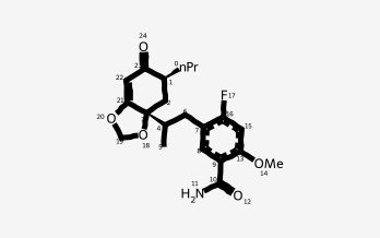 CCC[C@H]1C[C@]2(C(C)Cc3cc(C(N)=O)c(OC)cc3F)OCOC2=CC1=O